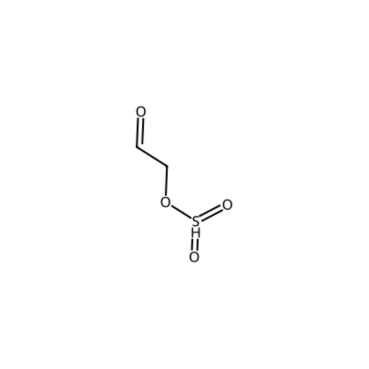 O=CCO[SH](=O)=O